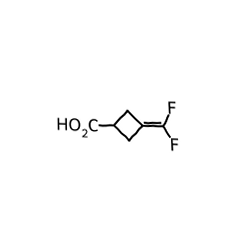 O=C(O)C1CC(=C(F)F)C1